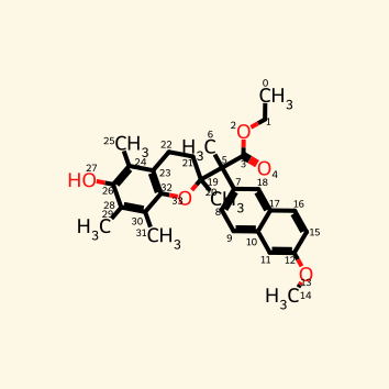 CCOC(=O)C(C)(c1ccc2cc(OC)ccc2c1)C1(C)CCc2c(C)c(O)c(C)c(C)c2O1